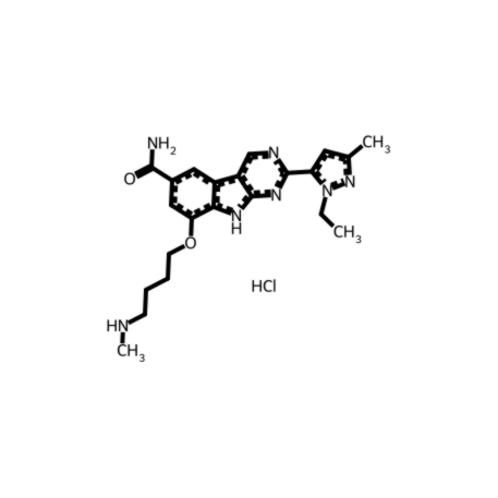 CCn1nc(C)cc1-c1ncc2c(n1)[nH]c1c(OCCCCNC)cc(C(N)=O)cc12.Cl